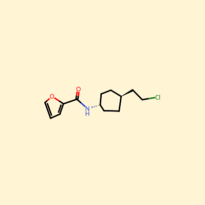 O=C(N[C@H]1CC[C@H](CCCl)CC1)c1ccco1